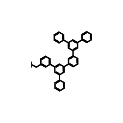 ICc1cccc(-c2cc(-c3ccccc3)cc(-c3cccc(-c4cc(-c5ccccc5)cc(-c5ccccc5)c4)c3)c2)c1